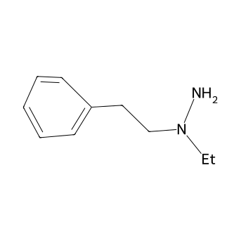 CCN(N)CCc1ccccc1